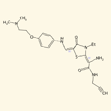 C#CCNC(=O)/C(N)=c1\s/c(=C/Nc2ccc(OCCN(C)C)cc2)c(=O)n1CC